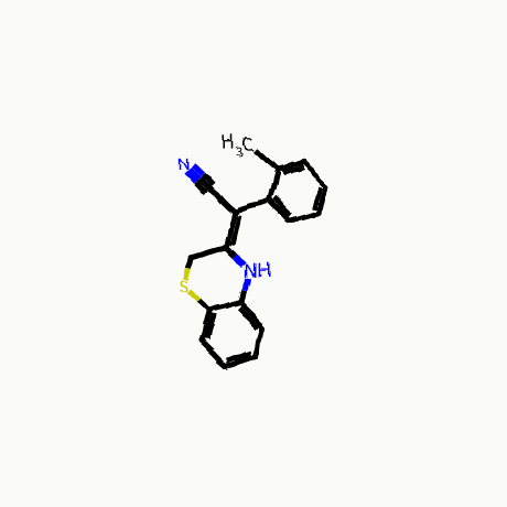 Cc1ccccc1C(C#N)=C1CSc2ccccc2N1